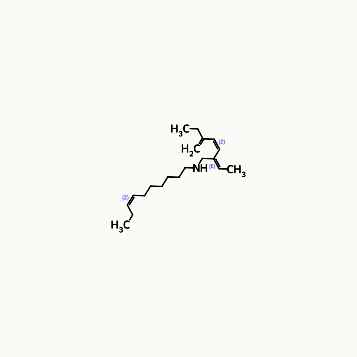 C=C(/C=C\C(=C/C)CNCCCCCC/C=C\CC)CC